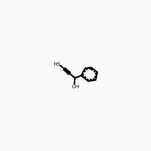 OC(C#CS)c1ccccc1